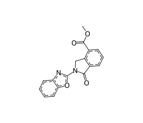 COC(=O)c1cccc2c1CN(c1nc3ccccc3o1)C2=O